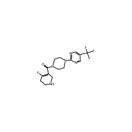 O=C(C1=C(F)CCNC1)N1CCN(c2ncc(C(F)(F)F)cn2)CC1